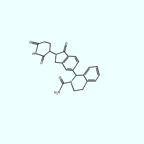 NC(=O)N1CCc2ccccc2C1c1ccc2c(c1)CN(C1CCC(=O)NC1=O)C2=O